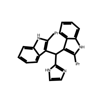 CC(C)c1[nH]c2ccccc2c1C(c1ncc[nH]1)c1c(C(C)C)[nH]c2ccccc12